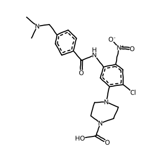 CN(C)Cc1ccc(C(=O)Nc2cc(N3CCN(C(=O)O)CC3)c(Cl)cc2[N+](=O)[O-])cc1